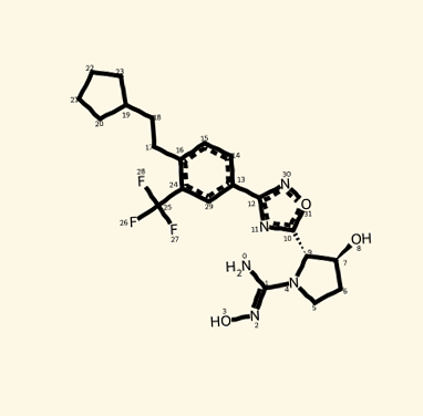 N/C(=N\O)N1CC[C@H](O)[C@H]1c1nc(-c2ccc(CCC3CCCC3)c(C(F)(F)F)c2)no1